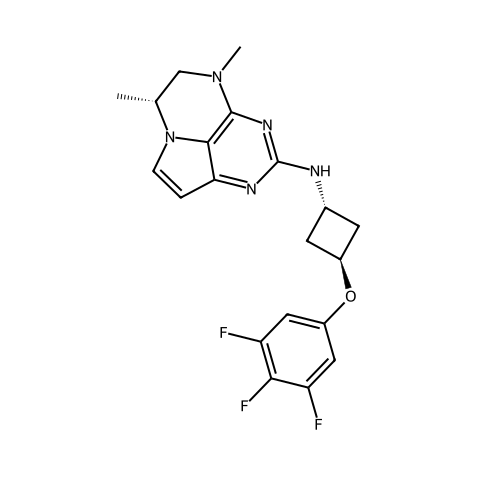 C[C@@H]1CN(C)c2nc(N[C@H]3C[C@H](Oc4cc(F)c(F)c(F)c4)C3)nc3ccn1c23